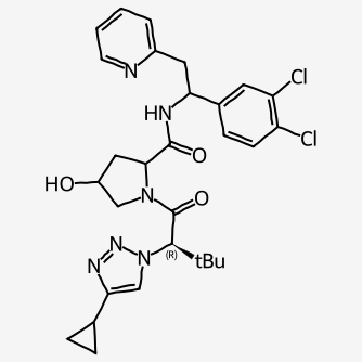 CC(C)(C)[C@H](C(=O)N1CC(O)CC1C(=O)NC(Cc1ccccn1)c1ccc(Cl)c(Cl)c1)n1cc(C2CC2)nn1